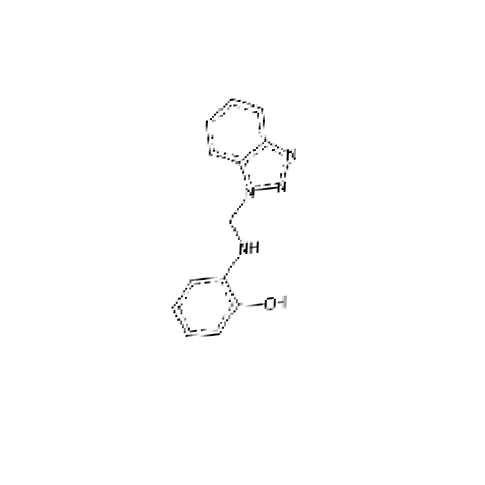 Oc1ccccc1NCn1nnc2ccccc21